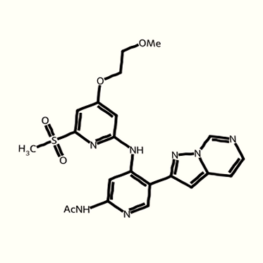 COCCOc1cc(Nc2cc(NC(C)=O)ncc2-c2cc3ccncn3n2)nc(S(C)(=O)=O)c1